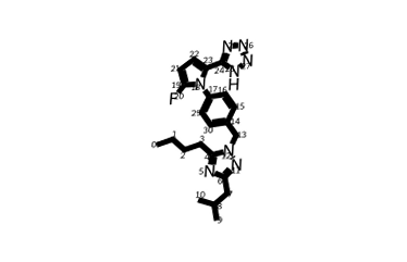 CCCCc1nc(CC(C)C)nn1Cc1ccc(-n2c(F)ccc2-c2nnn[nH]2)cc1